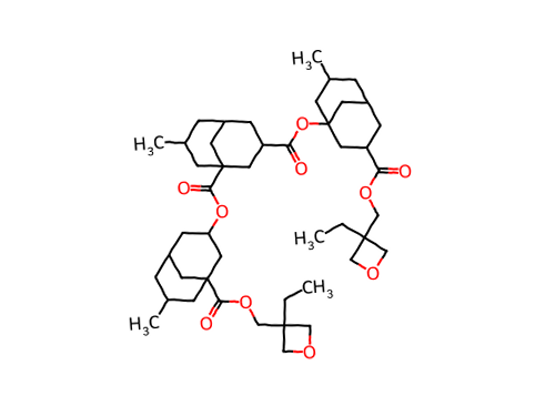 CCC1(COC(=O)C2CC3CC(C)CC(OC(=O)C4CC5CC(C)CC(C(=O)OC6CC7CC(C)CC(C(=O)OCC8(CC)COC8)(C7)C6)(C5)C4)(C3)C2)COC1